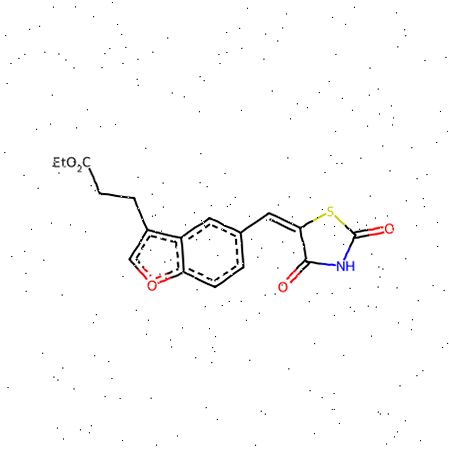 CCOC(=O)CCc1coc2ccc(C=C3SC(=O)NC3=O)cc12